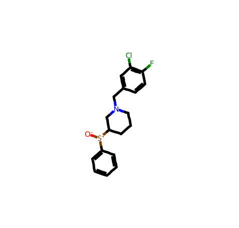 [O-][S+](c1ccccc1)C1CCCN(Cc2ccc(F)c(Cl)c2)C1